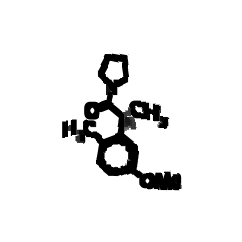 COc1ccc(C)c([C@@H](C)C(=O)N2CCCC2)c1